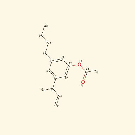 C=C[C](C)c1cc(CCCC)cc(OC(C)=O)c1